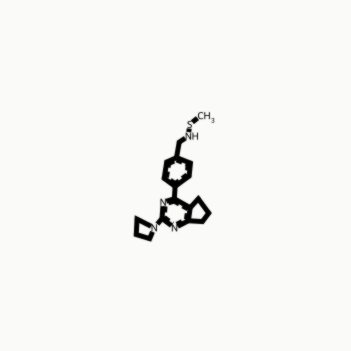 CSNCc1ccc(-c2nc(N3CCC3)nc3c2CCC3)cc1